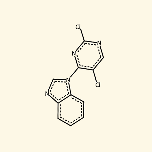 Clc1ncc(Cl)c(-n2cnc3ccccc32)n1